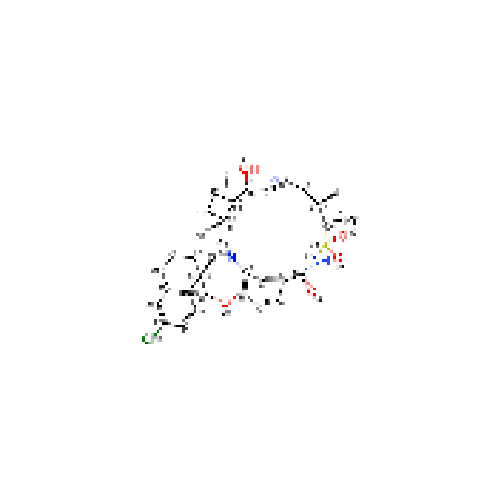 CC(C)[C@@H]1[C@H](C)C/C=C/[C@H](O)[C@@H]2CC[C@H]2CN2C[C@@]3(CCCc4cc(Cl)ccc43)COc3ccc(cc32)C(=O)NS1(=O)=O